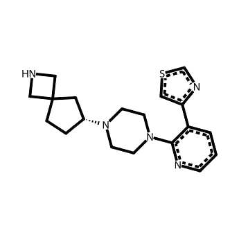 c1cnc(N2CCN([C@@H]3CCC4(CNC4)C3)CC2)c(-c2cscn2)c1